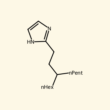 CCCCCCC(CCCCC)CCc1ncc[nH]1